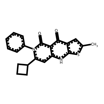 Cc1cc2c(=O)c3c(=O)n(-c4ccccc4)c(C4CCC4)cc3[nH]c2s1